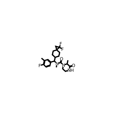 Cc1cc(C(C2CCC3(CC2)CC3(F)F)N(C)C(=O)N2CCNC(=O)C2C)ccc1F